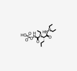 CCC[C@@H](C(=O)NN(CC)CC)N(CC)C(=O)NOS(=O)(=O)O